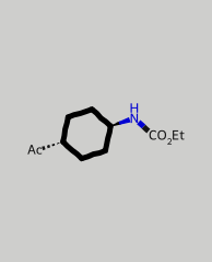 CCOC(=O)N[C@H]1CC[C@H](C(C)=O)CC1